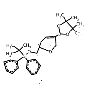 CC1(C)OB(C2=CCC(CO[Si](c3ccccc3)(c3ccccc3)C(C)(C)C)OC2)OC1(C)C